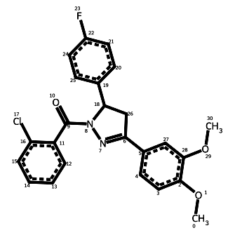 COc1ccc(C2=NN(C(=O)c3ccccc3Cl)C(c3ccc(F)cc3)C2)cc1OC